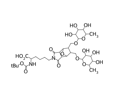 CC1OC(OCC2C(COC3OC(C)C(O)C(O)C3O)C3OC2C2C(=O)N(CCCCC(NC(=O)OC(C)(C)C)C(=O)O)C(=O)C32)C(O)C(O)C1O